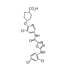 O=C(Nc1cnc(OC2CCC(C(=O)O)CC2)c(Cl)c1)c1nnc(Nc2ccc(Cl)cc2Cl)o1